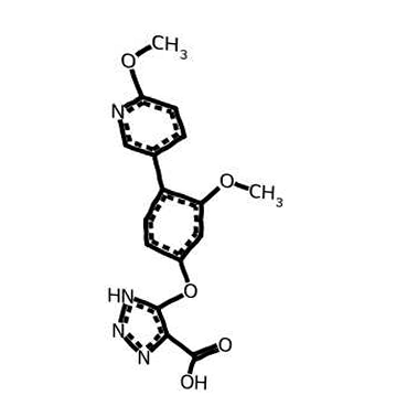 COc1ccc(-c2ccc(Oc3[nH]nnc3C(=O)O)cc2OC)cn1